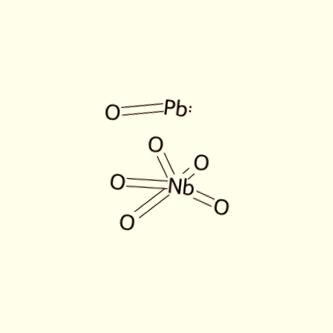 [O]=[Nb](=[O])(=[O])(=[O])=[O].[O]=[Pb]